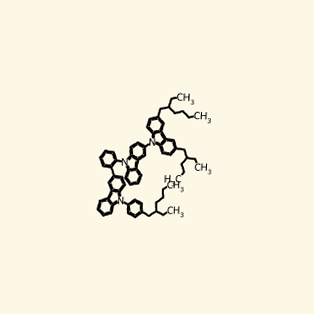 CCCCC(CC)Cc1ccc(-n2c3ccccc3c3cc(-c4ccccc4-n4c5ccccc5c5cc(-n6c7ccc(CC(CC)CCC)cc7c7cc(CC(CC)CCCC)ccc76)ccc54)ccc32)cc1